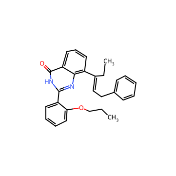 CCCOc1ccccc1-c1nc2c(C(=CCc3ccccc3)CC)cccc2c(=O)[nH]1